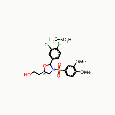 COc1ccc(S(=O)(=O)N2C[C@@H](CCO)OC2c2ccc(Cl)c(Cl)c2)cc1OC.CS(=O)(=O)O